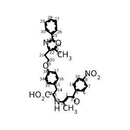 C/C(=C\C(=O)c1ccc([N+](=O)[O-])cc1)N[C@@H](Cc1ccc(OCCc2nc(-c3ccccc3)oc2C)cc1)C(=O)O